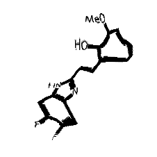 COc1cccc(/C=C/c2nc3cc(F)c(F)cc3[nH]2)c1O